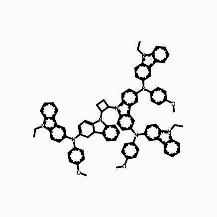 CCn1c2ccccc2c2cc(N(C3=CC=C4C(C3)c3ccccc3N4C3CCC3n3c4ccc(N(c5ccc(OC)cc5)c5ccc6c(c5)c5ccccc5n6CC)cc4c4cc(N(c5ccc(OC)cc5)c5ccc6c(c5)c5ccccc5n6CC)ccc43)c3ccc(OC)cc3)ccc21